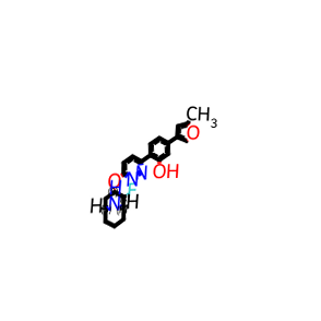 Cc1cc(-c2ccc(-c3ccc(O[C@H]4C[C@@H]5CCC[C@@H](N5)[C@H]4F)nn3)c(O)c2)co1